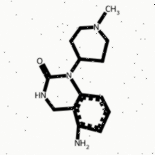 CN1CCC(N2C(=O)NCc3c(N)cccc32)CC1